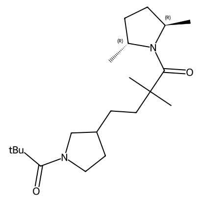 C[C@@H]1CC[C@@H](C)N1C(=O)C(C)(C)CCC1CCN(C(=O)C(C)(C)C)C1